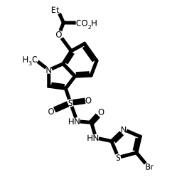 CCC(Oc1cccc2c(S(=O)(=O)NC(=O)Nc3ncc(Br)s3)cn(C)c12)C(=O)O